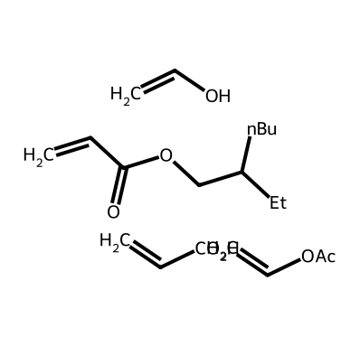 C=CC(=O)O.C=CC(=O)OCC(CC)CCCC.C=CO.C=COC(C)=O